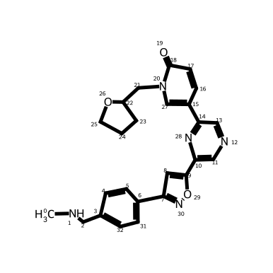 CNCc1ccc(-c2cc(-c3cncc(-c4ccc(=O)n(CC5CCCO5)c4)n3)on2)cc1